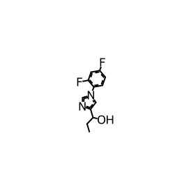 CCC(O)c1cn(-c2ccc(F)cc2F)cn1